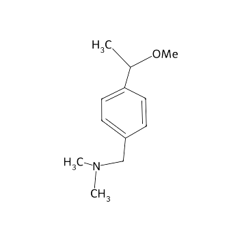 COC(C)c1ccc(CN(C)C)cc1